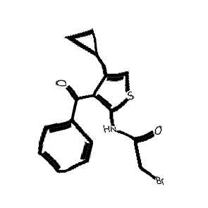 O=C(CBr)Nc1scc(C2CC2)c1C(=O)c1ccccc1